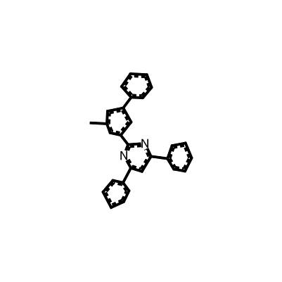 Cc1cc(-c2ccccc2)cc(-c2nc(-c3ccccc3)cc(-c3ccccc3)n2)c1